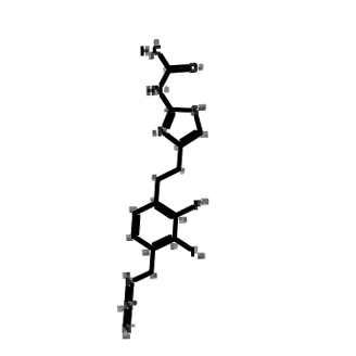 CC(=O)Nc1nc(CCc2ccc(CN=[N+]=[N-])c(F)c2F)cs1